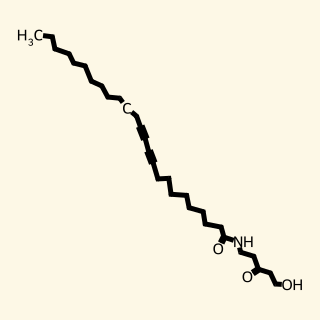 CCCCCCCCCCCCC#CC#CCCCCCCCCC(=O)NCCC(=O)CCO